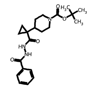 CC(C)(C)OC(=O)N1CCC(C2(C(=O)NNC(=O)c3ccccc3)CC2)CC1